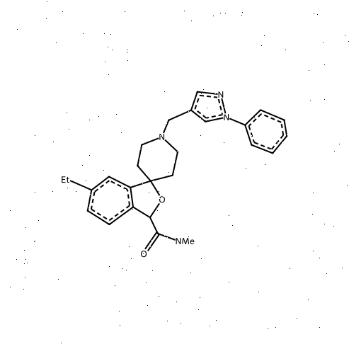 CCc1ccc2c(c1)C1(CCN(Cc3cnn(-c4ccccc4)c3)CC1)OC2C(=O)NC